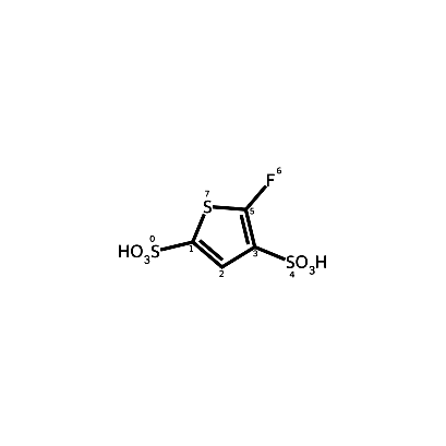 O=S(=O)(O)c1cc(S(=O)(=O)O)c(F)s1